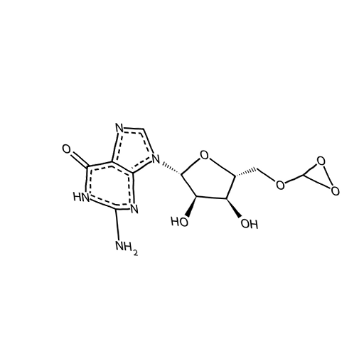 Nc1nc2c(ncn2[C@@H]2O[C@H](COC3OO3)[C@@H](O)[C@H]2O)c(=O)[nH]1